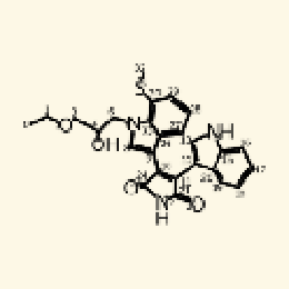 CCOCC(O)Cn1cc(C2=C(c3c[nH]c4ccccc34)C(=O)NC2=O)c2cccc(SC)c21